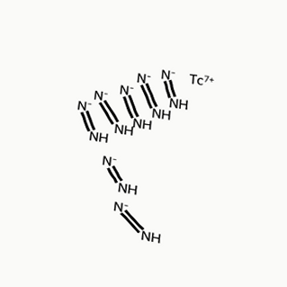 [N-]=N.[N-]=N.[N-]=N.[N-]=N.[N-]=N.[N-]=N.[N-]=N.[Tc+7]